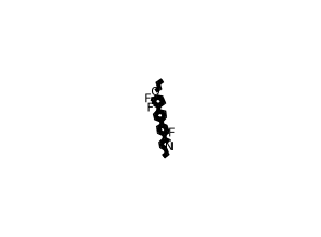 C=CCOc1ccc(-c2ccc(-c3ccc(-c4ccc(C=C)nc4)c(F)c3)cc2)c(F)c1F